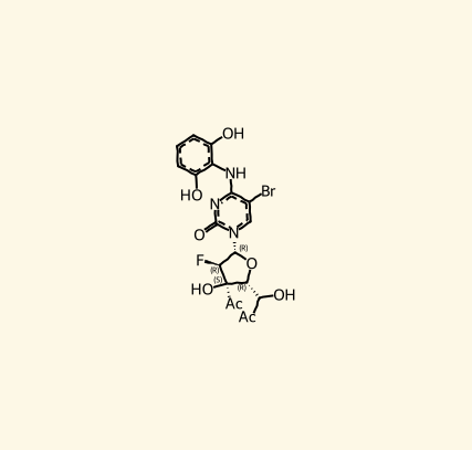 CC(=O)C(O)[C@H]1O[C@@H](n2cc(Br)c(Nc3c(O)cccc3O)nc2=O)[C@H](F)[C@@]1(O)C(C)=O